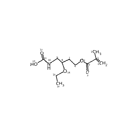 C=C(C)C(=O)OCCC(CNC(=O)O)OCC